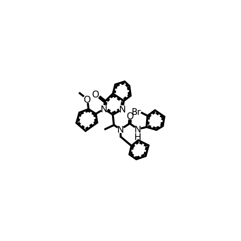 COc1ccccc1-n1c(C(C)N(Cc2ccccc2)C(=O)Nc2ccccc2Br)nc2ccccc2c1=O